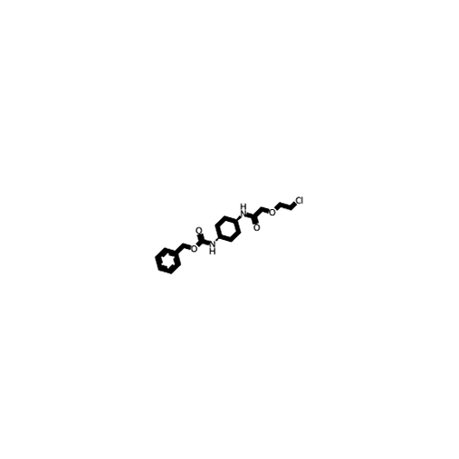 O=C(COCCCl)N[C@H]1CC[C@H](NC(=O)OCc2ccccc2)CC1